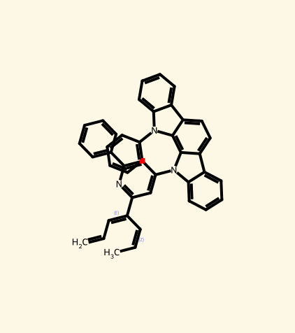 C=C/C=C(\C=C/C)c1cc(-n2c3ccccc3c3ccc4c5ccccc5n(-c5ccccc5)c4c32)cc(-c2ccccc2)n1